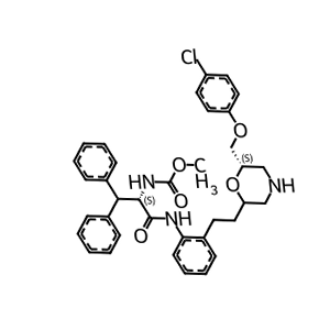 COC(=O)N[C@H](C(=O)Nc1ccccc1CCC1CNC[C@@H](COc2ccc(Cl)cc2)O1)C(c1ccccc1)c1ccccc1